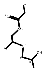 CCC(=O)OCC(C)OCC(C)O